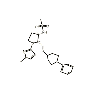 Cn1cnc(N2CC[C@H](NS(C)(=O)=O)[C@@H]2COC2CCC(c3ccccc3)CC2)n1